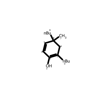 CCCCC1=C(O)C=CC(C)(CCCC)C1